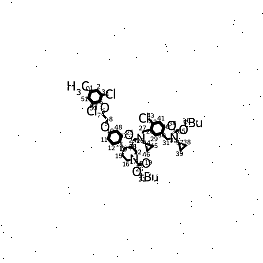 Cc1cc(Cl)c(OCCOc2ccc([C@H]3CCN(C(=O)OC(C)(C)C)C[C@@H]3C(=O)N(Cc3cc(CN(C(=O)OC(C)(C)C)C4CC4)ccc3Cl)C3CC3)cc2)c(Cl)c1